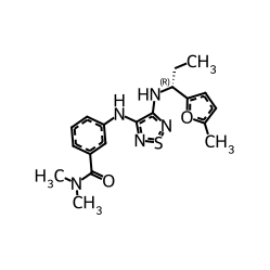 CC[C@@H](Nc1nsnc1Nc1cccc(C(=O)N(C)C)c1)c1ccc(C)o1